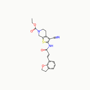 CCOC(=O)N1CCc2c(sc(NC(=O)C=Cc3cccc4c3OCC4)c2C#N)C1